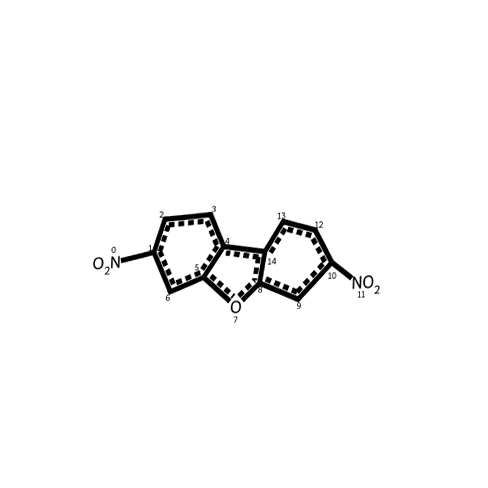 O=[N+]([O-])c1ccc2c(c1)oc1cc([N+](=O)[O-])ccc12